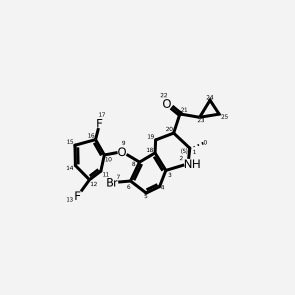 C[C@@H]1Nc2ccc(Br)c(Oc3cc(F)ccc3F)c2CC1C(=O)C1CC1